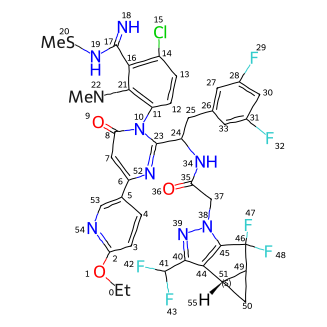 CCOc1ccc(-c2cc(=O)n(-c3ccc(Cl)c(C(=N)NSC)c3NC)c(C(Cc3cc(F)cc(F)c3)NC(=O)Cn3nc(C(F)F)c4c3C(F)(F)C3C[C@H]43)n2)cn1